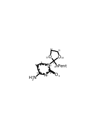 CCCCCC1(n2ccc(N)nc2=O)OCCO1